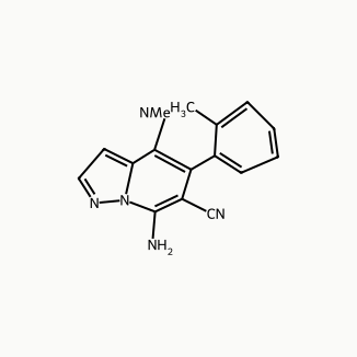 CNc1c(-c2ccccc2C)c(C#N)c(N)n2nccc12